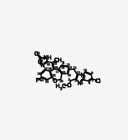 COCc1nc2cc(Cl)ccn2c1Cc1ccc2c(c1)COc1cc(F)ccc1C2=C(C)c1noc(=O)[nH]1